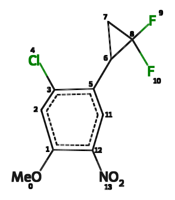 COc1cc(Cl)c(C2CC2(F)F)cc1[N+](=O)[O-]